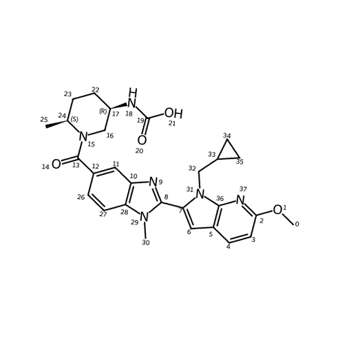 COc1ccc2cc(-c3nc4cc(C(=O)N5C[C@H](NC(=O)O)CC[C@@H]5C)ccc4n3C)n(CC3CC3)c2n1